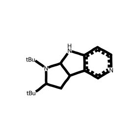 CC(C)(C)C1CC2c3cnccc3NC2N1C(C)(C)C